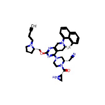 C#CCCN1CCC[C@H]1COc1nc2c(c(N3CCN(C(=O)[C@@H]4CN4)[C@@H](CC#N)C3)n1)CCN(c1cccc3cccc(C)c13)C2